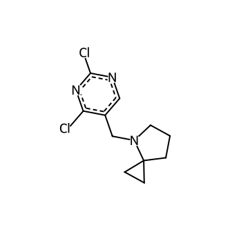 Clc1ncc(CN2CCCC23CC3)c(Cl)n1